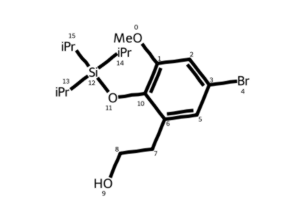 COc1cc(Br)cc(CCO)c1O[Si](C(C)C)(C(C)C)C(C)C